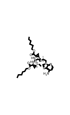 CCCCCCOC(=O)[C@@]1(NP(=O)(CO[C@H](C)Cn2cnc3c(N)ccnc32)N[C@]2(C(=O)OCCCCCC)C[C@H]2CC)C[C@H]1CC